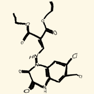 CCOC(=O)C(=CNn1c(=O)c(=O)[nH]c2cc(Cl)c(Cl)cc21)C(=O)OCC